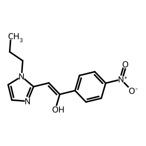 CCCn1ccnc1C=C(O)c1ccc([N+](=O)[O-])cc1